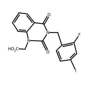 O=C(O)Cn1c(=O)n(Cc2ccc(I)cc2F)c(=O)c2ccccc21